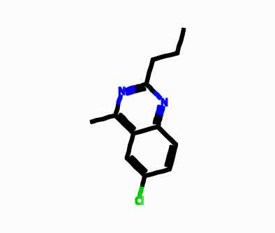 CCCc1nc(C)c2cc(Cl)ccc2n1